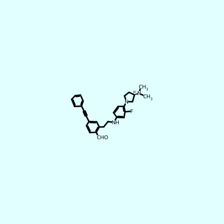 CN(C)[C@@H]1CCN(c2ccc(NCCc3cc(C#Cc4ccccc4)ccc3C=O)cc2F)C1